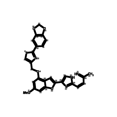 COc1cc(OCc2csc(-c3ccc4c(c3)OCO4)n2)c2cc(-c3c[nH]c(/C=C\C(C)=N)n3)oc2c1